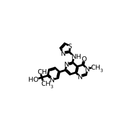 Cn1cnc2cc(-c3ccc(C(C)(C)O)nc3)nc(Nc3nccs3)c2c1=O